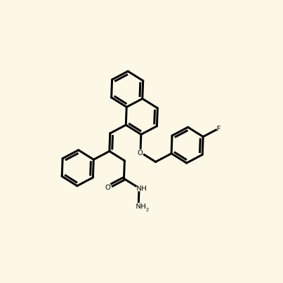 NNC(=O)CC(=Cc1c(OCc2ccc(F)cc2)ccc2ccccc12)c1ccccc1